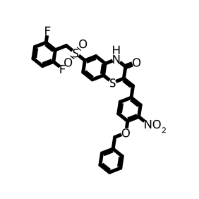 O=C1Nc2cc(S(=O)(=O)Cc3c(F)cccc3F)ccc2SC1=Cc1ccc(OCc2ccccc2)c([N+](=O)[O-])c1